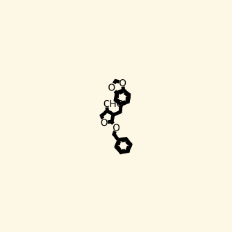 O=CC1COC(OCc2ccccc2)C1Cc1ccc2c(c1)OCO2